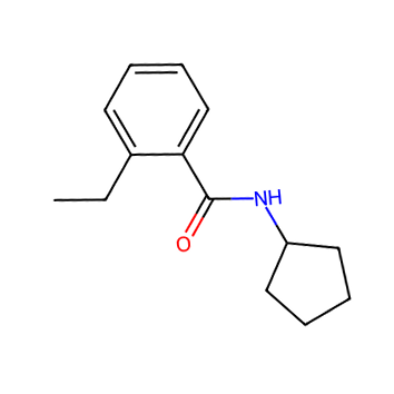 CCc1ccccc1C(=O)NC1CCCC1